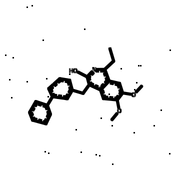 CCc1nc(O)c(Cc2cccc(-c3ccccc3)c2)c2cc(OC)c(OC)cc12